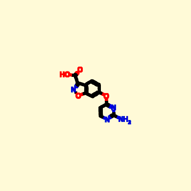 Nc1nccc(Oc2ccc3c(C(=O)O)noc3c2)n1